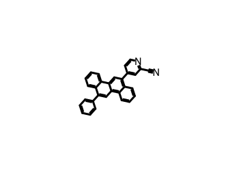 N#Cc1cc(-c2cc3c4ccccc4c(-c4ccccc4)cc3c3ccccc23)ccn1